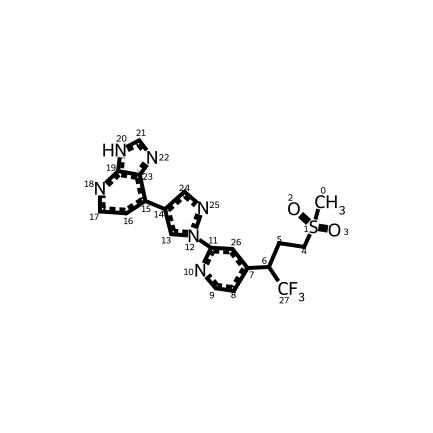 CS(=O)(=O)CCC(c1ccnc(-n2cc(-c3ccnc4[nH]cnc34)cn2)c1)C(F)(F)F